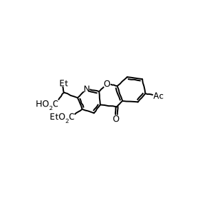 CCOC(=O)c1cc2c(=O)c3cc(C(C)=O)ccc3oc2nc1C(CC)C(=O)O